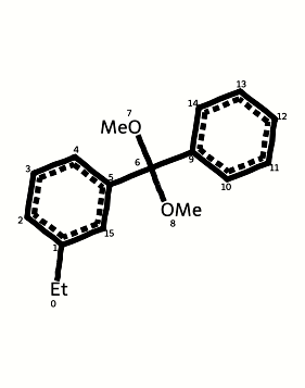 [CH2]Cc1cccc(C(OC)(OC)c2ccccc2)c1